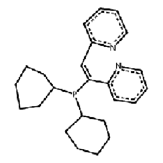 C(=C(c1ccccn1)P(C1CCCCC1)C1CCCCC1)c1ccccn1